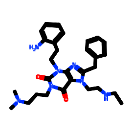 CCNCCn1c(Cc2ccccc2)nc2c1c(=O)n(CCCN(C)C)c(=O)n2CCc1ccccc1N